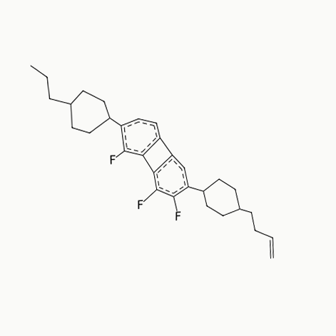 C=CCCC1CCC(c2cc3c(c(F)c2F)-c2c-3ccc(C3CCC(CCC)CC3)c2F)CC1